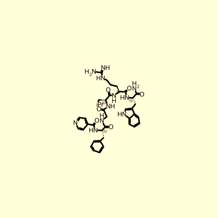 CC(C)C[C@H](NC(=O)CNC(=O)[C@H](Cc1ccccc1)NC(=O)c1ccncc1)C(=O)N[C@@H](CCCNC(=N)N)C(=O)N[C@@H](Cc1c[nH]c2ccccc12)C(N)=O